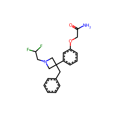 NC(=O)COc1cccc(C2(Cc3ccccc3)CN(CC(F)F)C2)c1